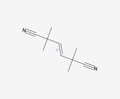 CC(C)(C#N)/C=C/C(C)(C)C#N